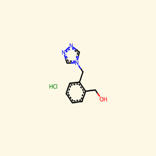 Cl.OCc1ccccc1Cn1cnnc1